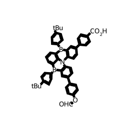 CC(C)(C)c1ccc(B2c3cc(-c4ccc(OC=O)cc4)ccc3N3c4ccc(-c5ccc(C(=O)O)cc5)cc4B(c4ccc(C(C)(C)C)cc4)c4cccc2c43)cc1